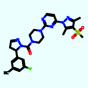 Cc1nn(-c2ccnc(N3CCN(C(=O)N4N=CCC4c4cc(F)cc(C#N)c4)CC3)n2)c(C)c1S(C)(=O)=O